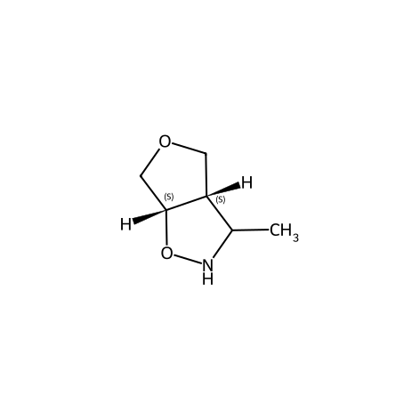 CC1NO[C@@H]2COC[C@H]12